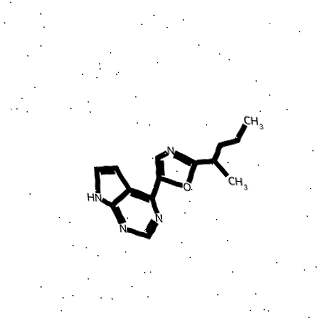 CCCC(C)c1ncc(-c2ncnc3[nH]ccc23)o1